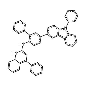 C1=CC2=C(c3ccccc3)C=C(Nc3ccc(-c4ccc5c(c4)c4ccccc4n5-c4ccccc4)cc3-c3ccccc3)NC2C=C1